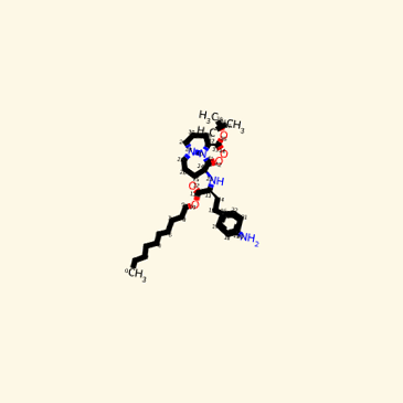 CCCCCCCCCCOC(=O)[C@H](CCc1ccc(N)cc1)N[C@H]1CCCN2CCC[C@@H](C(=O)OC(C)(C)C)N2C1=O